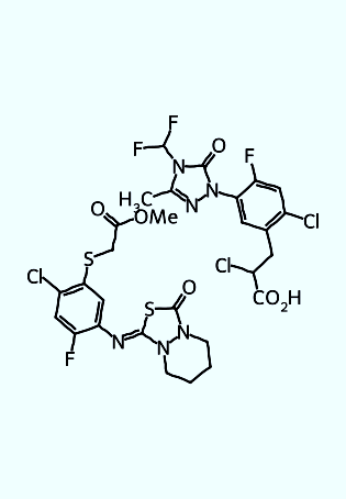 COC(=O)CSc1cc(/N=c2\sc(=O)n3n2CCCC3)c(F)cc1Cl.Cc1nn(-c2cc(CC(Cl)C(=O)O)c(Cl)cc2F)c(=O)n1C(F)F